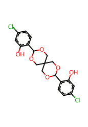 Oc1cc(Cl)ccc1C1OCC2(CO1)COC(c1ccc(Cl)cc1O)OC2